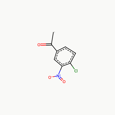 [CH2]C(=O)c1ccc(Cl)c([N+](=O)[O-])c1